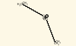 CC(C)CCCCCCCCCCCCCCCCCCCOC(=O)C1(C(=O)OCCCCCCCCCCCCCCCCCCCC(C)C)CCCCC1